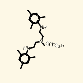 Cc1cc(C)c(NCCN(C)CCNc2c(C)cc(C)cc2C)c(C)c1.[Cl-].[Cl-].[Cu+2]